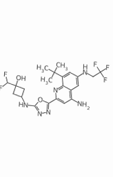 CC(C)(C)c1cc(NCC(F)(F)F)cc2c(N)cc(-c3nnc(NC4CC(O)(C(F)F)C4)o3)nc12